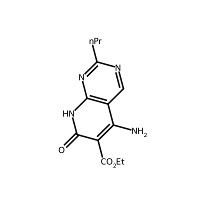 CCCc1ncc2c(N)c(C(=O)OCC)c(=O)[nH]c2n1